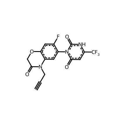 C#CCN1C(=O)COc2cc(F)c(-n3c(=O)cc(C(F)(F)F)[nH]c3=O)cc21